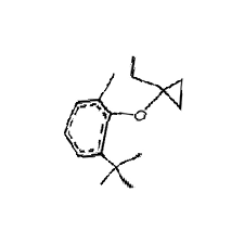 CCC1(Oc2c(C)cccc2C(C)(C)C)CC1